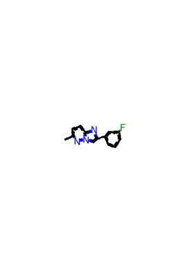 Cc1ccc2nc(-c3cccc(F)c3)cn2n1